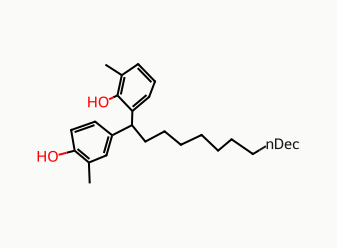 CCCCCCCCCCCCCCCCCC(c1ccc(O)c(C)c1)c1cccc(C)c1O